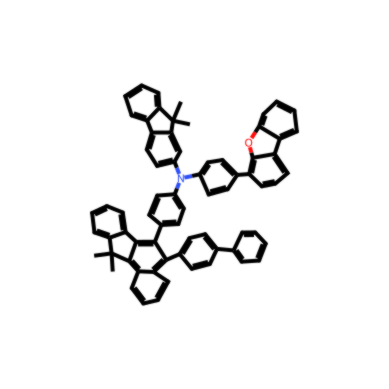 CC1(C)c2ccccc2-c2ccc(N(c3ccc(-c4c5c(c6ccccc6c4-c4ccc(-c6ccccc6)cc4)C(C)(C)c4ccccc4-5)cc3)c3ccc(-c4cccc5c4oc4ccccc45)cc3)cc21